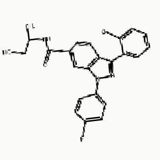 C[C@H](CO)NC(=O)c1ccc2c(-c3ccccc3Cl)nn(-c3ccc(F)cc3)c2c1